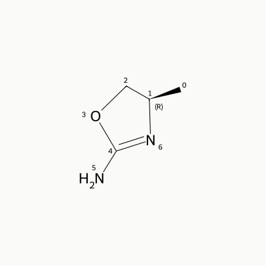 C[C@@H]1COC(N)=N1